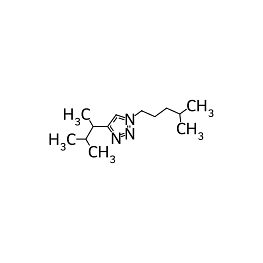 CC(C)CCCn1cc(C(C)C(C)C)nn1